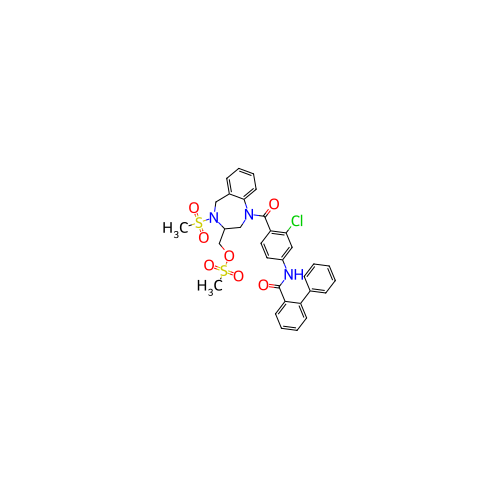 CS(=O)(=O)OCC1CN(C(=O)c2ccc(NC(=O)c3ccccc3-c3ccccc3)cc2Cl)c2ccccc2CN1S(C)(=O)=O